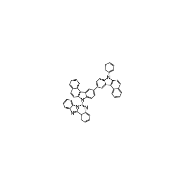 c1ccc(-n2c3ccc(-c4ccc5c(c4)c4c6ccccc6ccc4n5-c4nc5ccccc5c5nc6ccccc6n45)cc3c3c4ccccc4ccc32)cc1